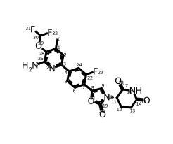 Cc1cc(-c2ccc(-c3cn([C@H]4CCC(=O)NC4=O)c(=O)o3)c(F)c2)nc(N)c1OC(F)F